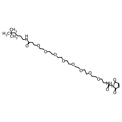 CC(C)(C)CCCCNC(=O)CCOCCOCCOCCOCCOCCOCCOCCOCCNC(=O)N1C(=O)C=CC1=O